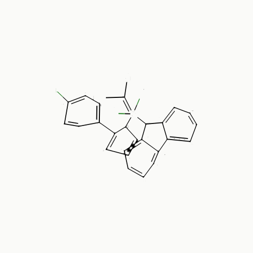 C[C](C)=[Zr]([Cl])([Cl])([CH]1C=CC=C1c1ccc(Cl)cc1)[CH]1c2ccccc2-c2ccccc21